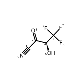 N#CC(=O)[C@H](O)C(F)(F)F